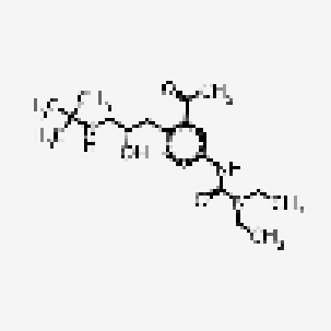 CCN(CC)C(=O)Nc1ccc(CC(O)CNC(C)(C)C)c(C(C)=O)c1